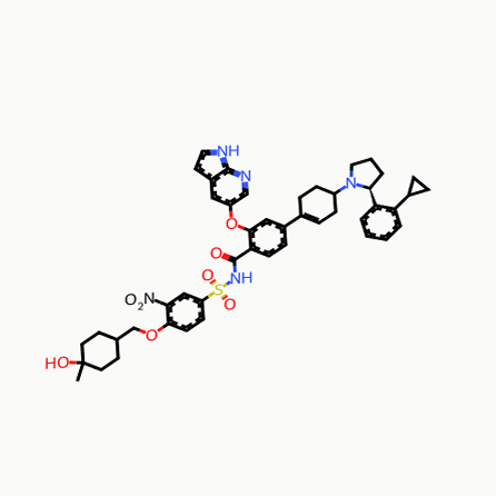 CC1(O)CCC(COc2ccc(S(=O)(=O)NC(=O)c3ccc(C4=CCC(N5CCC[C@H]5c5ccccc5C5CC5)CC4)cc3Oc3cnc4[nH]ccc4c3)cc2[N+](=O)[O-])CC1